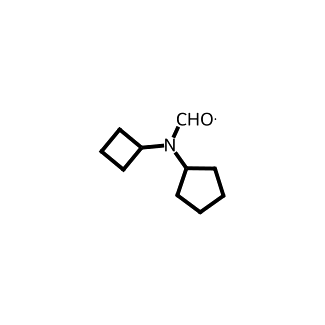 O=[C]N(C1CCCC1)C1CCC1